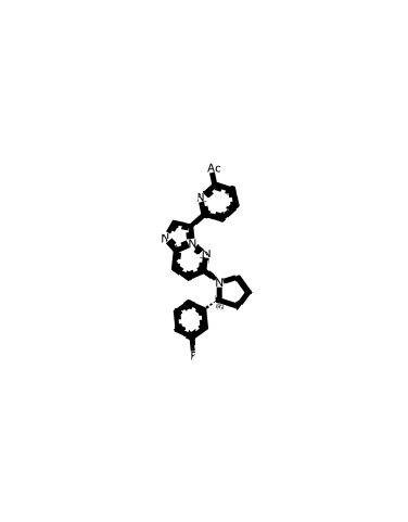 CC(=O)c1cccc(-c2cnc3ccc(N4CCC[C@@H]4c4cccc(F)c4)nn23)n1